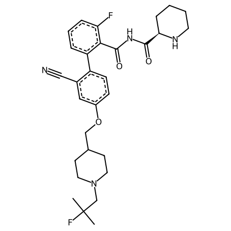 CC(C)(F)CN1CCC(COc2ccc(-c3cccc(F)c3C(=O)NC(=O)[C@H]3CCCCN3)c(C#N)c2)CC1